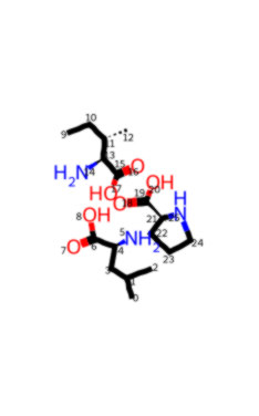 CC(C)C[C@H](N)C(=O)O.CC[C@H](C)[C@H](N)C(=O)O.O=C(O)[C@@H]1CCCN1